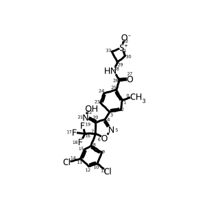 Cc1cc(C2=NOC(c3cc(Cl)cc(Cl)c3)(C(F)(F)F)/C2=N/O)ccc1C(=O)NC1C[S+]([O-])C1